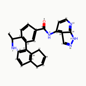 CC(N)c1ccc(C(=O)Nc2ccnc3[nH]ncc23)cc1-c1cccc2c1CC=CC2